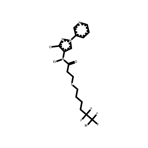 CCN(C(=O)CCSCCCCC(F)(F)C(F)(F)Br)c1cn(-c2cccnc2)nc1Cl